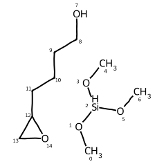 CO[SiH](OC)OC.OCCCCC1CO1